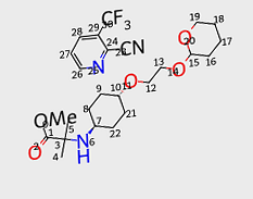 COC(=O)C(C)(C)N[C@H]1CC[C@H](OCCOC2CCCCO2)CC1.N#Cc1ncccc1C(F)(F)F